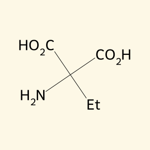 CCC(N)(C(=O)O)C(=O)O